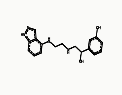 Oc1cccc(C(O)CNCCNc2cccc3[nH]ncc23)c1